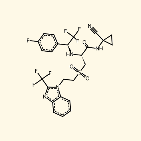 N#CC1(NC(=O)[C@H](CS(=O)(=O)CCn2c(C(F)(F)F)nc3ccccc32)N[C@@H](c2ccc(F)cc2)C(F)(F)F)CC1